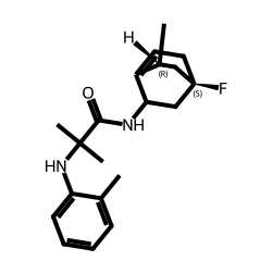 Cc1ccccc1NC(C)(C)C(=O)NC1C[C@@]2(F)CC=C1[C@H](C)C2